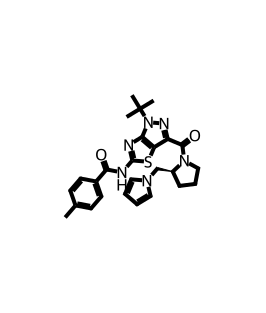 Cc1ccc(C(=O)Nc2nc3c(s2)c(C(=O)N2CCC[C@H]2Cn2cccc2)nn3C(C)(C)C)cc1